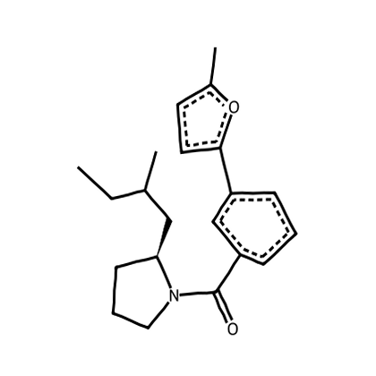 CCC(C)C[C@@H]1CCCN1C(=O)c1cccc(-c2ccc(C)o2)c1